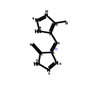 C=c1[nH]nn/c1=C/c1[nH]nnc1C